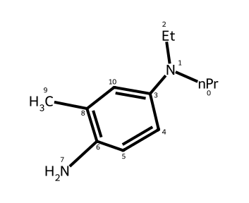 CCCN(CC)c1ccc(N)c(C)c1